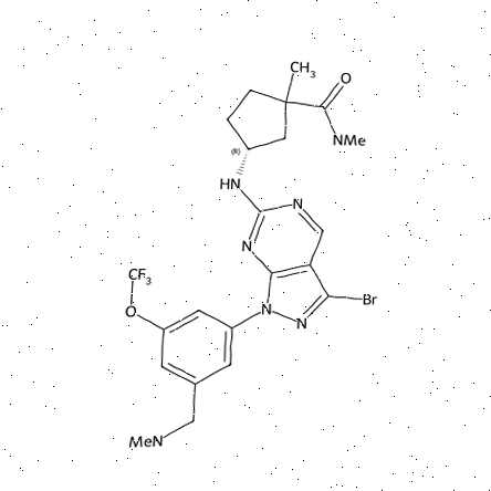 CNCc1cc(OC(F)(F)F)cc(-n2nc(Br)c3cnc(N[C@@H]4CCC(C)(C(=O)NC)C4)nc32)c1